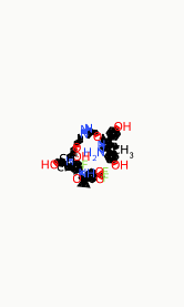 CCc1c(-c2ccc(O)cc2)c(N)nc(COCc2cn(CCCOC[C@H](O)Cn3c(C(C)(C)CO)cc4cc(NC(=O)C5(c6ccc7c(c6)OC(F)(F)O7)CC5)c(F)cc43)nn2)c1-c1ccc(O)cc1